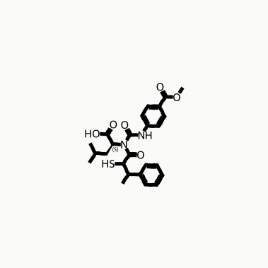 COC(=O)c1ccc(NC(=O)N(C(=O)C(S)C(C)c2ccccc2)[C@@H](CC(C)C)C(=O)O)cc1